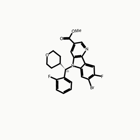 COC(=O)c1cnc2c3cc(F)c(Br)cc3n([C@H](c3ccccc3F)C3CCOCC3)c2c1